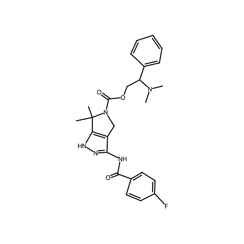 CN(C)C(COC(=O)N1Cc2c(NC(=O)c3ccc(F)cc3)n[nH]c2C1(C)C)c1ccccc1